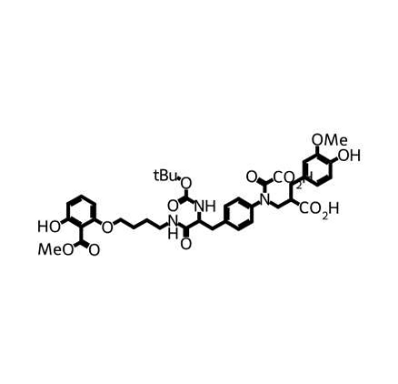 COC(=O)c1c(O)cccc1OCCCCNC(=O)C(Cc1ccc(N(CC(Cc2ccc(O)c(OC)c2)C(=O)O)C(=O)C(=O)O)cc1)NC(=O)OC(C)(C)C